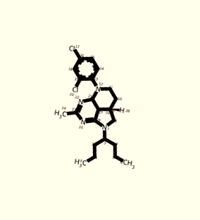 CCCC(CCC)N1[CH][C@H]2CCN(c3ccc(Cl)cc3Cl)C3N=C(C)N=C1C32